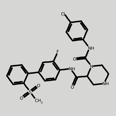 CS(=O)(=O)c1ccccc1-c1ccc(NC(=O)C2CNCCN2C(=O)Nc2ccc(Cl)cc2)c(F)c1